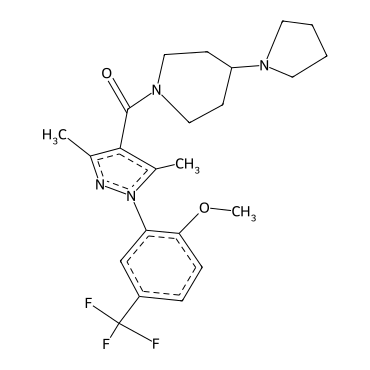 COc1ccc(C(F)(F)F)cc1-n1nc(C)c(C(=O)N2CCC(N3CCCC3)CC2)c1C